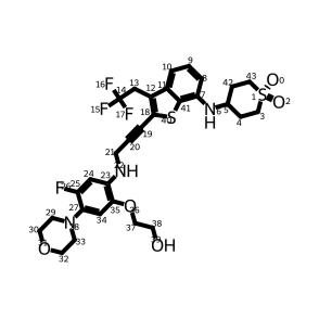 O=S1(=O)CCC(Nc2cccc3c(CC(F)(F)F)c(C#CCNc4cc(F)c(N5CCOCC5)cc4OCCO)sc23)CC1